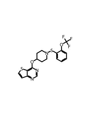 FC(F)(F)Oc1ccccc1SN1CCC(Oc2ncnc3ccsc23)CC1